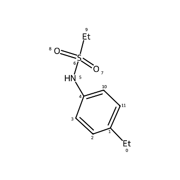 CCc1ccc(NS(=O)(=O)CC)cc1